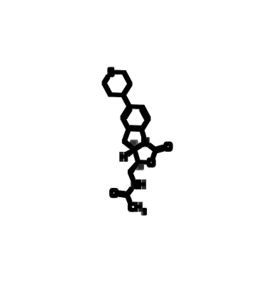 CC(=O)NC[C@@H]1OC(=O)N2c3ccc(C4CCSCC4)cc3C[C@@H]12